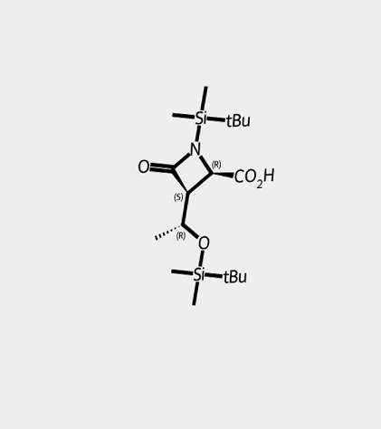 C[C@@H](O[Si](C)(C)C(C)(C)C)[C@H]1C(=O)N([Si](C)(C)C(C)(C)C)[C@H]1C(=O)O